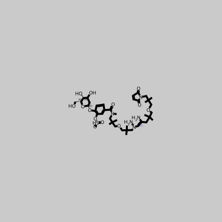 CN(CC(C)(C)COCC(C)(C)CN(N)/C=C(\N)CC(C)(C)COCC(C)(C)CN1C(=O)C=CC1=O)C(=O)c1ccc(O[C@H]2CC(O)[C@@H](O)[C@@H](CO)O2)c(O[SH](=O)=O)c1